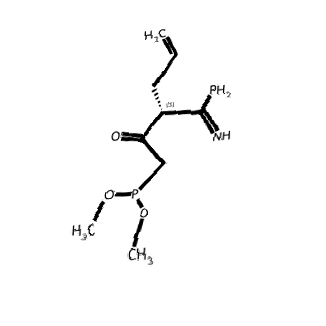 C=CC[C@H](C(=N)P)C(=O)CP(OC)OC